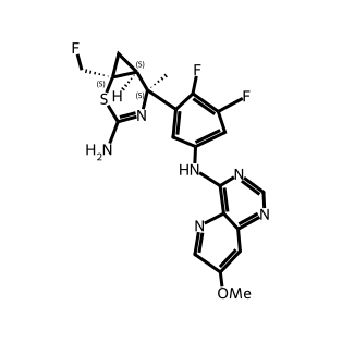 COc1cnc2c(Nc3cc(F)c(F)c([C@@]4(C)N=C(N)S[C@@]5(CF)C[C@H]54)c3)ncnc2c1